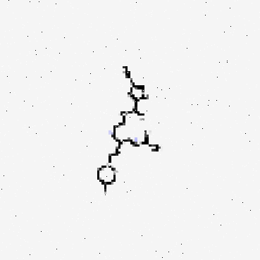 CC1CCN(C/N=C(\C=C/CNC(=O)c2cc(C#N)c[nH]2)/C=C/C(=O)O)CC1